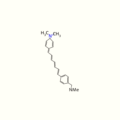 CNCc1ccc(/C=C/C=C/C=C/C=C2C=CC(=[N+](C)C)C=C2)cc1